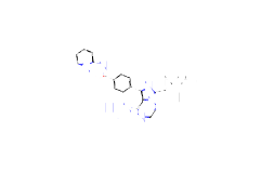 CN[C@@H](C)c1nc(-c2ccc(C(=O)Nc3ccccn3)cc2)c2c(N)nccn12